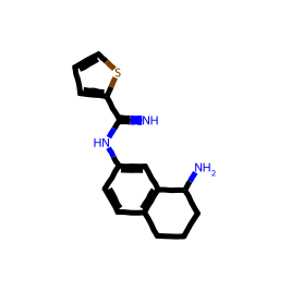 N=C(Nc1ccc2c(c1)C(N)CCC2)c1cccs1